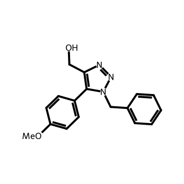 COc1ccc(-c2c(CO)nnn2Cc2ccccc2)cc1